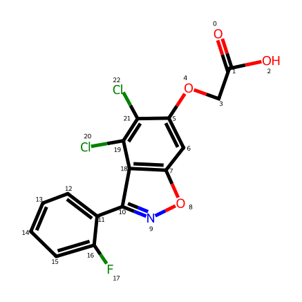 O=C(O)COc1cc2onc(-c3ccccc3F)c2c(Cl)c1Cl